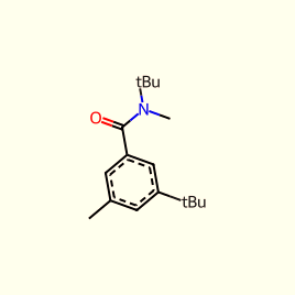 Cc1cc(C(=O)N(C)C(C)(C)C)cc(C(C)(C)C)c1